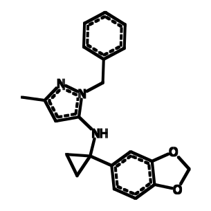 Cc1cc(NC2(c3ccc4c(c3)OCO4)CC2)n(Cc2ccccc2)n1